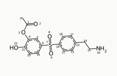 CC(=O)Oc1cc(S(=O)(=O)c2ccc(CCN)cc2)ccc1O